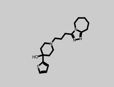 OC1(c2cccs2)CCN(CCCc2nnc3n2CCCCC3)CC1